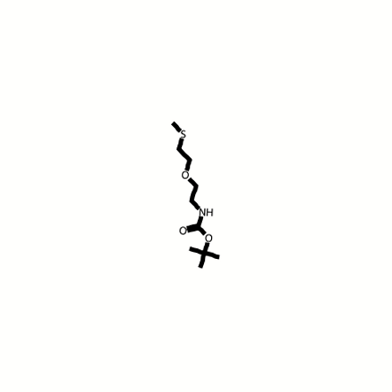 CSCCOCCNC(=O)OC(C)(C)C